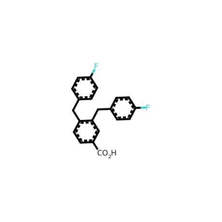 O=C(O)c1ccc(Cc2ccc(F)cc2)c(Cc2ccc(F)cc2)c1